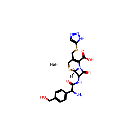 NC(C(=O)NC1C(=O)N2C(C(=O)O)=C(CSc3cnn[nH]3)CS[C@H]12)c1ccc(CO)cc1.[NaH]